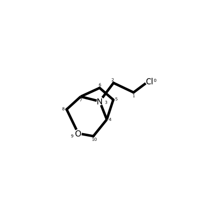 ClCCN1C2CCC1COC2